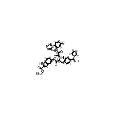 CC(C)(C)OC(=O)c1cc2cc(NC(=O)C(Cc3ccc(C(=N)n4ccnc4)cc3)NC(=O)C(=O)Nc3cc(Cl)ccc3-n3cnnn3)ccc2[nH]1